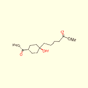 COC(=O)CCCC[C@]1(O)CC[C@@H](C(=O)OC)CC1